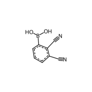 N#Cc1cccc(B(O)O)c1C#N